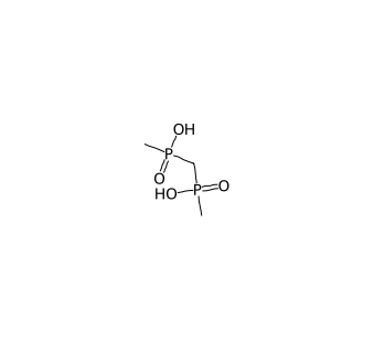 CP(=O)(O)CP(C)(=O)O